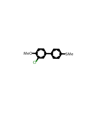 COc1ccc(-c2[c]cc(SC)cc2)cc1Cl